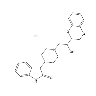 Cl.O=C1Nc2ccccc2C1C1CCN(CC(O)C2COc3ccccc3O2)CC1